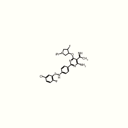 CC(=N)c1c(N)nc(-c2ccc(NSc3cc(Cl)ccc3F)cc2)nc1OC1CN(C(C)C)CC1F